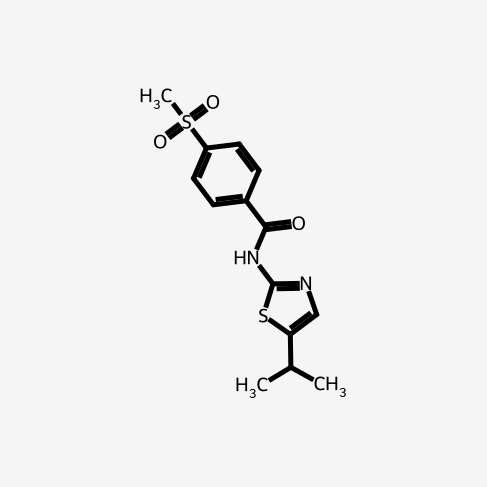 CC(C)c1cnc(NC(=O)c2ccc(S(C)(=O)=O)cc2)s1